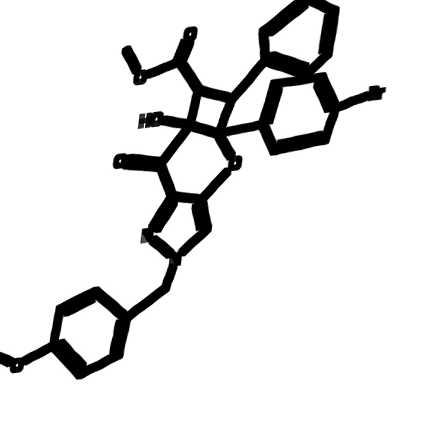 COC(=O)C1C(c2ccccc2)C2(c3ccc(Br)cc3)Oc3cn(Cc4ccc(OC)cc4)nc3C(=O)C12O